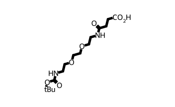 CC(C)(C)OC(=O)NCCOCCOCCNC(=O)CCC(=O)O